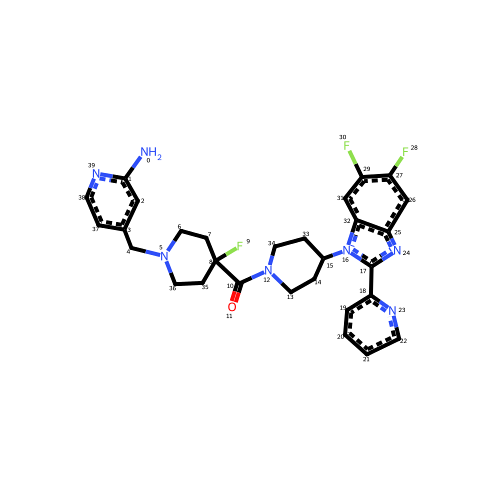 Nc1cc(CN2CCC(F)(C(=O)N3CCC(n4c(-c5ccccn5)nc5cc(F)c(F)cc54)CC3)CC2)ccn1